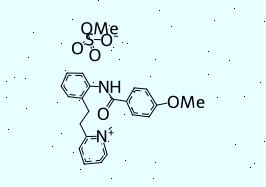 COS(=O)(=O)[O-].COc1ccc(C(=O)Nc2ccccc2CCc2cccc[n+]2C)cc1